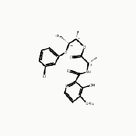 COc1ccnc(C(=O)N[C@@H](C)C(=O)O[C@@H](C)[C@H](Oc2cccc(Cl)c2)C(C)(C)C)c1O